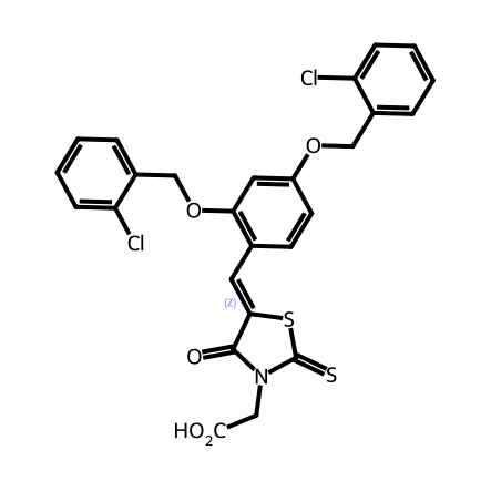 O=C(O)CN1C(=O)/C(=C/c2ccc(OCc3ccccc3Cl)cc2OCc2ccccc2Cl)SC1=S